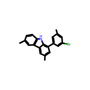 Cc1cc(Br)[c]c(-c2cc(C)cc3c2[nH]c2ccc(C)cc23)c1